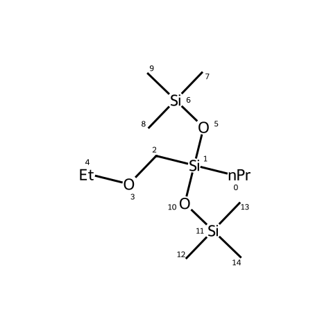 CCC[Si](COCC)(O[Si](C)(C)C)O[Si](C)(C)C